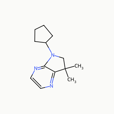 CC1(C)CN(C2CCCC2)c2nccnc21